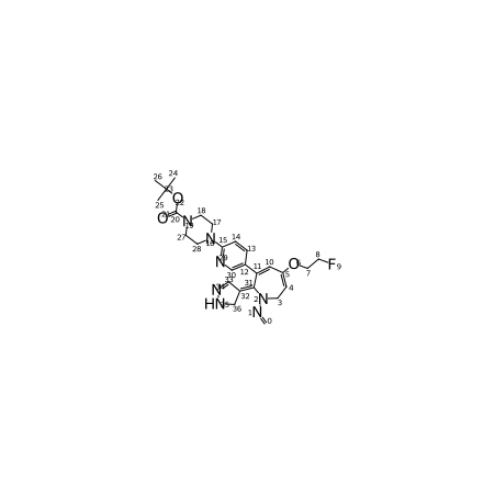 C=NN1CC=C(OCCF)C=C(c2ccc(N3CCN(C(=O)OC(C)(C)C)CC3)nc2)/C1=C1\C=NNC1